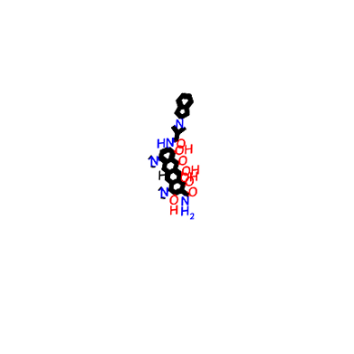 CN(C)c1cc(NC(=O)C2CN(C3Cc4ccccc4C3)C2)c(O)c2c1C[C@H]1CC3[C@H](N(C)C)C(O)=C(C(N)=O)C(=O)[C@@]3(O)C(O)=C1C2=O